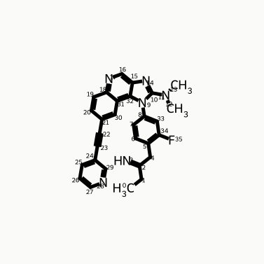 CCC(=N)Cc1ccc(-n2c(N(C)C)nc3cnc4ccc(C#Cc5cccnc5)cc4c32)cc1F